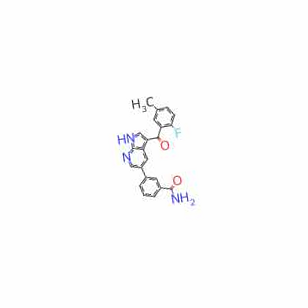 Cc1ccc(F)c(C(=O)c2c[nH]c3ncc(-c4cccc(C(N)=O)c4)cc23)c1